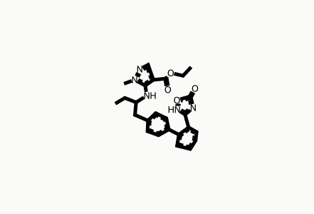 CCOC(=O)c1cnn(C)c1NC(CC)Cc1ccc(-c2ccccc2-c2nc(=O)o[nH]2)cc1